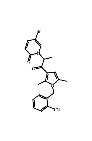 Cc1cc(C(=O)C(C)n2cc(Br)ccc2=O)c(C)n1Cc1ccccc1C#N